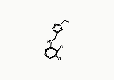 CCn1cnc(CNc2cccc(Cl)c2Cl)c1